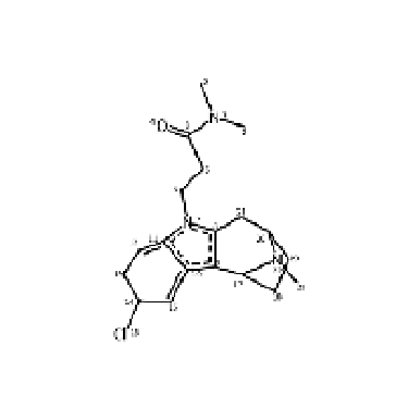 CN(C)C(=O)CCn1c2c(c3c1=CCC(Cl)C=3)C1CCC(C2)N1C